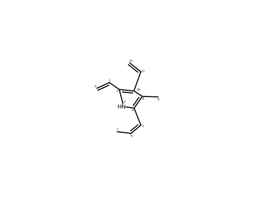 C=Cc1[nH]c(/C=C\C)c(C)c1C=C